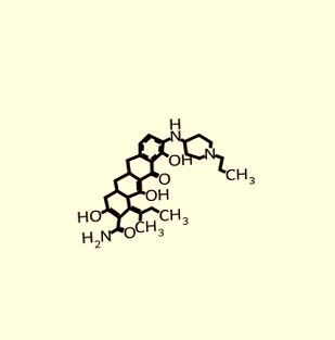 CCCN1CCC(Nc2ccc3c(c2O)C(=O)C2=C(O)C4/C(=C(/C)CC)C(C(N)=O)=C(O)CC4CC2C3)CC1